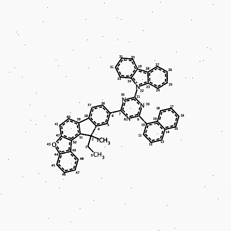 CCC1(C)c2cc(-c3nc(-c4cccc5ccccc45)nc(-n4c5ccccc5c5ccccc54)n3)ccc2-c2ccc3oc4ccccc4c3c21